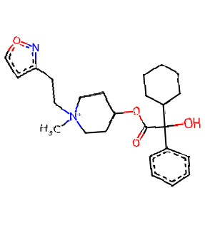 C[N+]1(CCc2ccon2)CCC(OC(=O)C(O)(c2ccccc2)C2CCCCC2)CC1